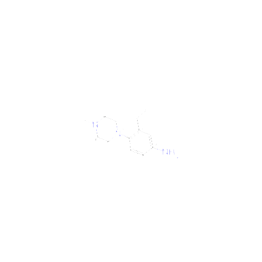 CCc1cc(N)ccc1N1CCN(C)CC1